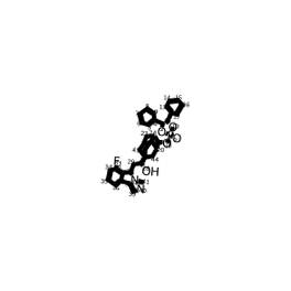 O=P(OCc1ccccc1)(OCc1ccccc1)OC1C2CC3CC1CC(C(O)CC1c4c(F)cccc4-c4cncn41)(C3)C2